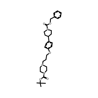 CC(C)(C)OC(=O)N1CCN(CCCOc2ccc(C3CCN(C(=O)OCc4ccccc4)CC3)cc2)CC1